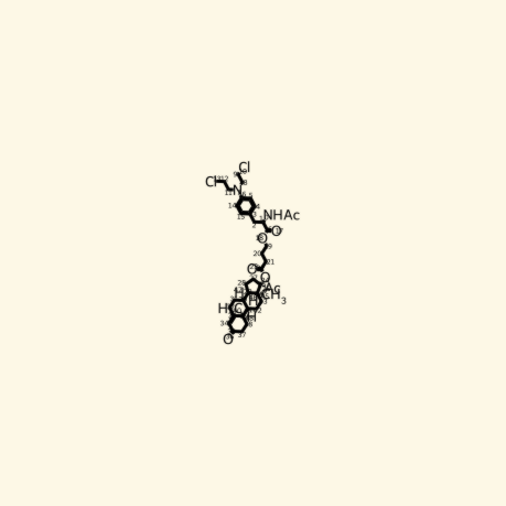 CC(=O)NC(Cc1ccc(N(CCCl)CCCl)cc1)C(=O)OCCCC(=O)O[C@]1(C(C)=O)CC[C@H]2[C@@H]3CCC4=CC(=O)CC[C@]4(C)[C@H]3CC[C@@]21C